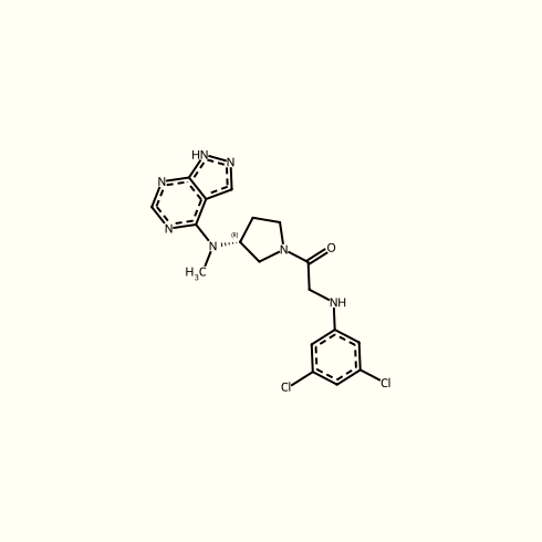 CN(c1ncnc2[nH]ncc12)[C@@H]1CCN(C(=O)CNc2cc(Cl)cc(Cl)c2)C1